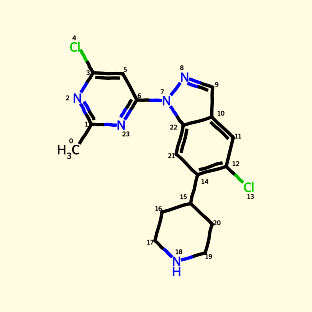 Cc1nc(Cl)cc(-n2ncc3cc(Cl)c(C4CCNCC4)cc32)n1